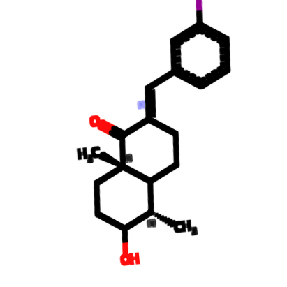 C[C@@H]1C(O)CC[C@]2(C)C(=O)/C(=C/c3cccc(I)c3)CCC12